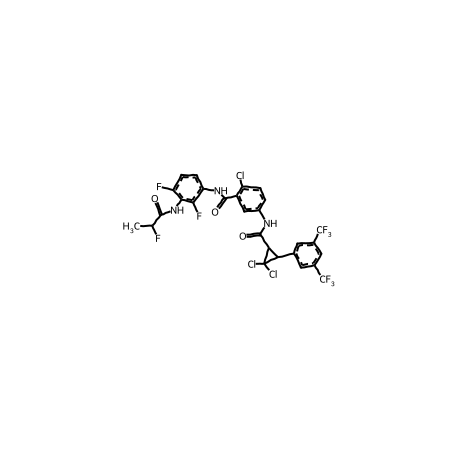 CC(F)C(=O)Nc1c(F)ccc(NC(=O)c2cc(NC(=O)C3C(c4cc(C(F)(F)F)cc(C(F)(F)F)c4)C3(Cl)Cl)ccc2Cl)c1F